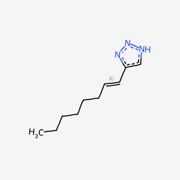 CCCCCC/C=C/c1c[nH]nn1